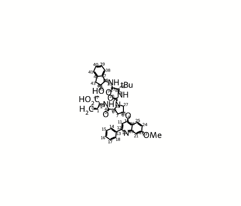 C=C[C@H](NC(=O)[C@@H]1C[C@@H](Oc2cc(-c3ccccc3)nc3cc(OC)ccc23)CN1C(=O)N[C@H](C(=O)N[C@H]1c2ccccc2C[C@H]1O)C(C)(C)C)C(=O)O